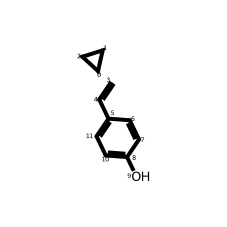 C1CC1.C=Cc1ccc(O)cc1